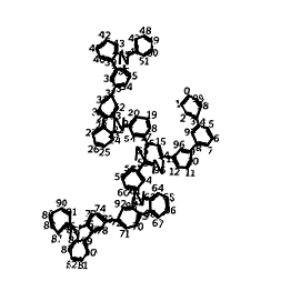 c1ccc(-c2cccc(-c3cccc(-c4cc(-c5cccc(-n6c7ccccc7c7ccc(-c8ccc9c(c8)c8ccccc8n9-c8ccccc8)cc76)c5)nc(-c5cccc(-n6c7ccccc7c7ccc(-c8ccc9c(c8)c8ccccc8n9-c8ccccc8)cc76)c5)n4)c3)c2)cc1